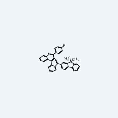 CC1(C)c2ccccc2-c2ccc(-c3cc4c(-c5ccc(F)cc5)nc5ccccc5c4c4ccccc34)cc21